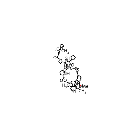 CCn1c(-c2cccnc2[C@H](C)OC)c2c3cc(ccc31)-c1nc(cs1)C[C@H](NC(=O)C(C1CCCC1)N(C)C(=O)[C@H]1CCN(C(=O)C#CC(C)(C)N3CCC3)C1)C(=O)N1CCC[C@H](N1)C(=O)OCC(C)(C)C2